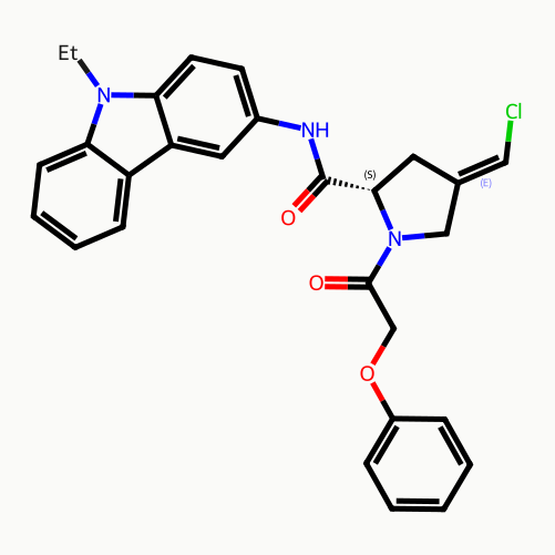 CCn1c2ccccc2c2cc(NC(=O)[C@@H]3C/C(=C\Cl)CN3C(=O)COc3ccccc3)ccc21